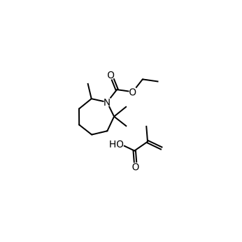 C=C(C)C(=O)O.CCOC(=O)N1C(C)CCCCC1(C)C